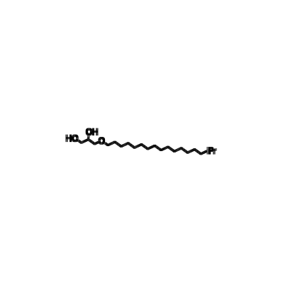 CC(C)CCCCCCCCCCCCCCCOCC(O)CO